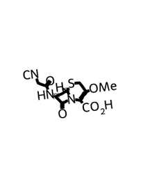 COC1=C(C(=O)O)N2C(=O)[C@@H](NC(=O)CC#N)[C@H]2SC1